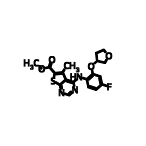 COC(=O)c1sc2ncnc(Nc3ccc(F)cc3O[C@H]3CCOC3)c2c1C